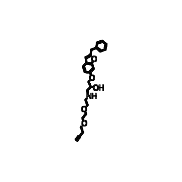 C#CCCOCCOCCNCC(O)COc1ccc2cc(Cc3ccccc3)oc2c1